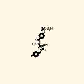 CCCn1c([C@H](OC(=O)c2ccc(SC(C)(C)C(=O)O)cc2)C(F)(F)F)nn(Cc2ccc(C)cc2)c1=O